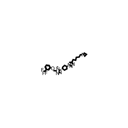 Cn1c(COc2cccc(C(F)(F)F)c2)nnc1[C@H]1CC[C@H](n2cc(CCCCCN3CCC3)nn2)CC1